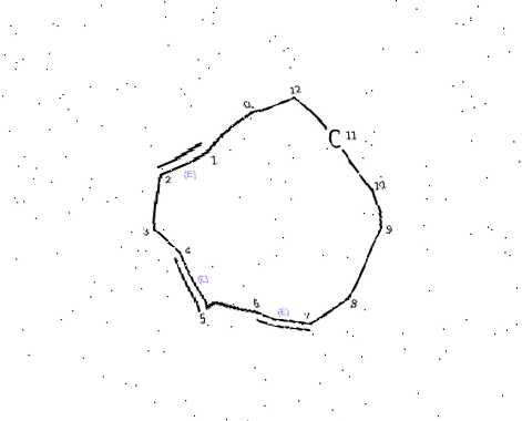 [CH]1/C=C/C/C=C/C=C/CCCCC1